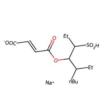 CCCCC(CC)C(OC(=O)C=CC(=O)[O-])C(CC)S(=O)(=O)O.[Na+]